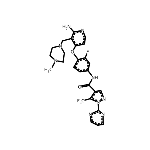 CN1CCN(Cc2c(Oc3ccc(NC(=O)c4cnn(-c5ncccn5)c4C(F)(F)F)cc3F)ccnc2N)CC1